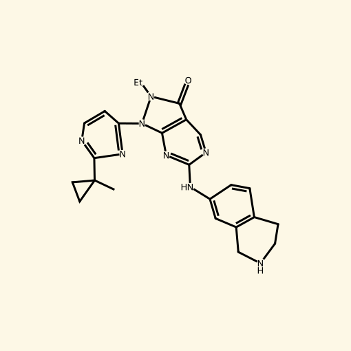 CCn1c(=O)c2cnc(Nc3ccc4c(c3)CNCC4)nc2n1-c1ccnc(C2(C)CC2)n1